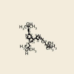 CC(C)(O)C#Cc1cc2c(-c3cnn(COCC[Si](C)(C)C)c3)cn(CCC(C)(C)O)c2cn1